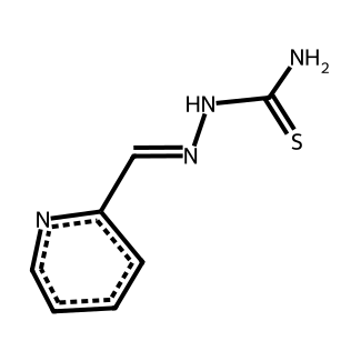 NC(=S)NN=Cc1ccccn1